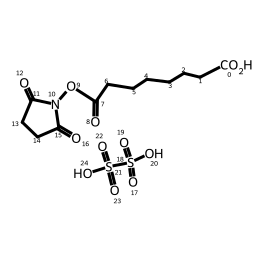 O=C(O)CCCCCCC(=O)ON1C(=O)CCC1=O.O=S(=O)(O)S(=O)(=O)O